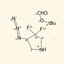 CC(C)(C)OC=O.[N-]=[N+]=NC1CNCC1(F)F